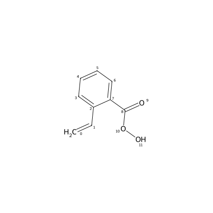 C=Cc1ccccc1C(=O)OO